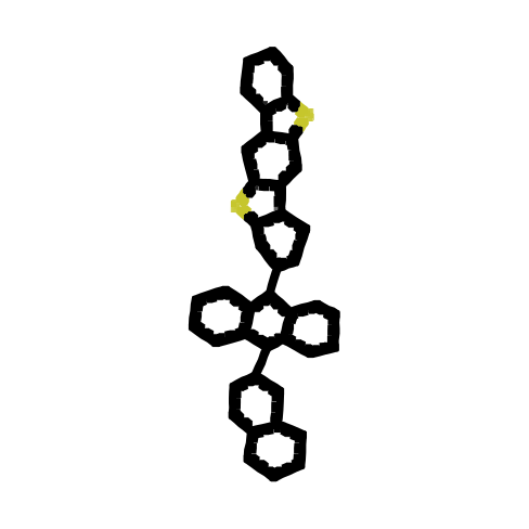 c1ccc2cc(-c3c4ccccc4c(-c4ccc5c(c4)sc4cc6c(cc45)sc4ccccc46)c4ccccc34)ccc2c1